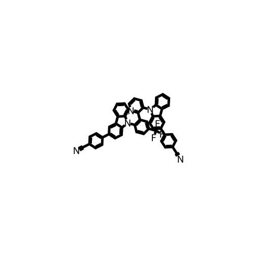 N#Cc1ccc(-c2ccc3c(c2)c2ccccc2n3-c2ccc(C(F)(F)F)cc2-c2ncccc2-n2c3ccccc3c3cc(-c4ccc(C#N)cc4)ccc32)cc1